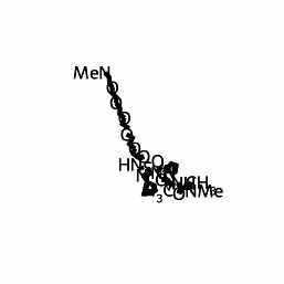 CNCCOCCOCCOCCOCCOCC(=O)Nc1nc(-c2ccccc2)c(NC(=O)[C@@H]2CCCN2C(=O)[C@H](C)NC(=O)[C@H](C)NC)s1